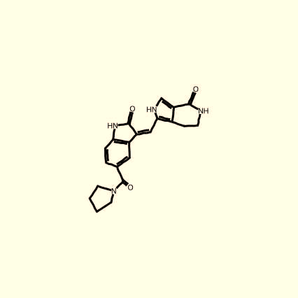 O=C1Nc2ccc(C(=O)N3CCCC3)cc2C1=Cc1[nH]cc2c1CCNC2=O